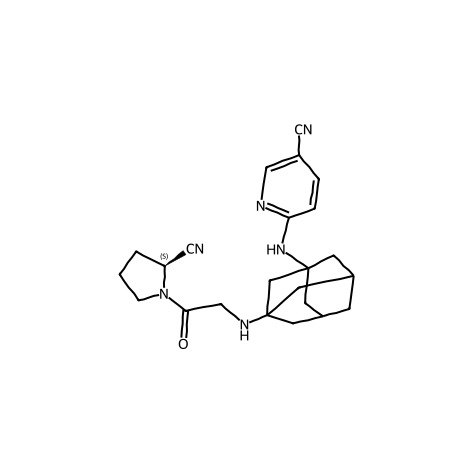 N#Cc1ccc(NC23CC4CC(CC(NCC(=O)N5CCC[C@H]5C#N)(C4)C2)C3)nc1